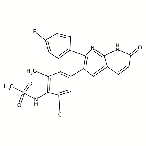 Cc1cc(-c2cc3ccc(=O)[nH]c3nc2-c2ccc(F)cc2)cc(Cl)c1NS(C)(=O)=O